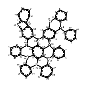 c1ccc(N2c3ccccc3Oc3cc4c(cc32)N2c3ccccc3B3c5ccccc5N5c6ccccc6B6c7ccccc7N7c8cc9sc%10ccccc%10c9cc8B4c4c2c3c5c6c47)cc1